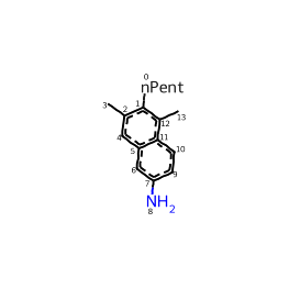 CCCCCc1c(C)cc2cc(N)ccc2c1C